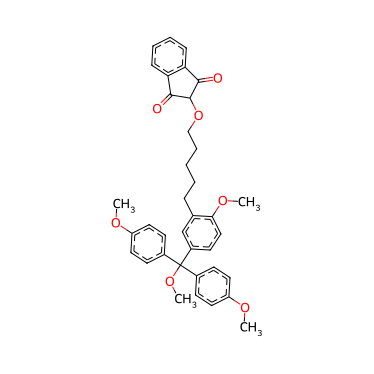 COc1ccc(C(OC)(c2ccc(OC)cc2)c2ccc(OC)c(CCCCCOC3C(=O)c4ccccc4C3=O)c2)cc1